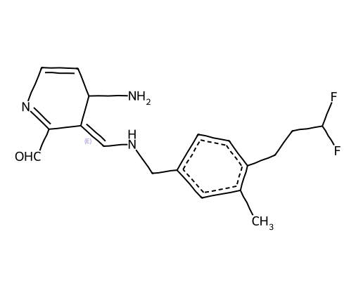 Cc1cc(CN/C=C2/C(C=O)=NC=CC2N)ccc1CCC(F)F